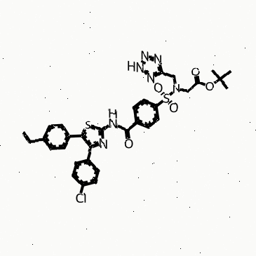 CCc1ccc(-c2sc(NC(=O)c3ccc(S(=O)(=O)N(CC(=O)OC(C)(C)C)Cc4nn[nH]n4)cc3)nc2-c2ccc(Cl)cc2)cc1